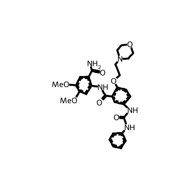 COc1cc(NC(=O)c2cc(NC(=O)Nc3ccccc3)ccc2OCCN2CCOCC2)c(C(N)=O)cc1OC